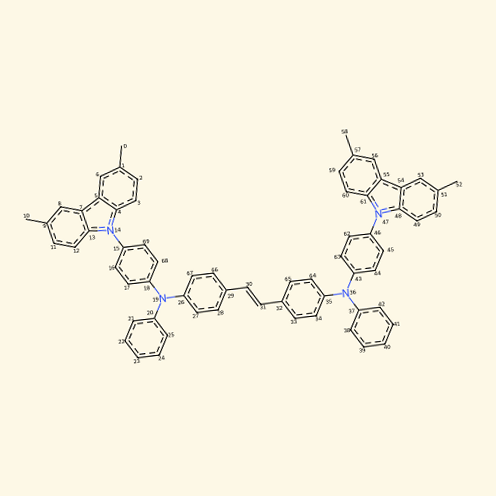 Cc1ccc2c(c1)c1cc(C)ccc1n2-c1ccc(N(c2ccccc2)c2ccc(/C=C/c3ccc(N(c4ccccc4)c4ccc(-n5c6ccc(C)cc6c6cc(C)ccc65)cc4)cc3)cc2)cc1